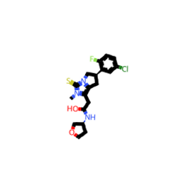 Cn1c(CC(O)N[C@@H]2CCOC2)c2n(c1=S)C[C@@H](c1cc(Cl)ccc1F)C2